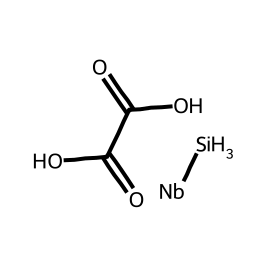 O=C(O)C(=O)O.[SiH3][Nb]